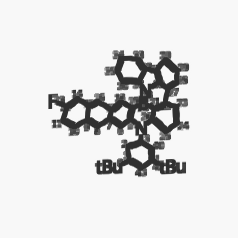 CC(C)(C)c1cc(N2c3cc4cc5ccc(F)cc5cc4cc3B3c4c(cccc42)-c2cccc4c5ccccc5n3c24)cc(C(C)(C)C)c1